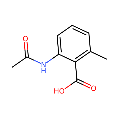 CC(=O)Nc1cccc(C)c1C(=O)O